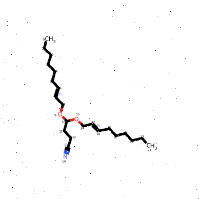 CCCCCC/C=C/COC(CCC#N)OC/C=C/CCCCCC